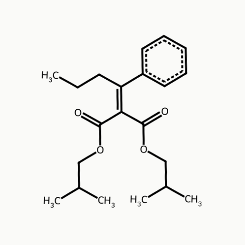 CCCC(=C(C(=O)OCC(C)C)C(=O)OCC(C)C)c1ccccc1